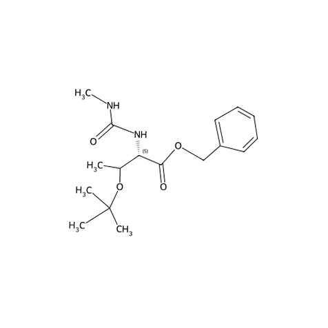 CNC(=O)N[C@H](C(=O)OCc1ccccc1)C(C)OC(C)(C)C